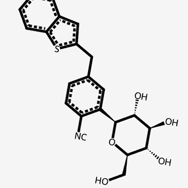 [C-]#[N+]c1ccc(Cc2cc3ccccc3s2)cc1[C@@H]1O[C@H](CO)[C@@H](O)[C@H](O)[C@H]1O